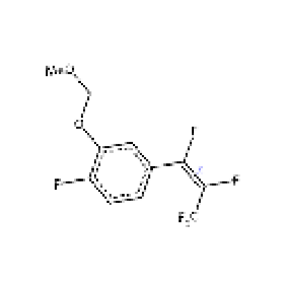 COCOc1cc(/C(F)=C(/F)C(F)(F)F)ccc1F